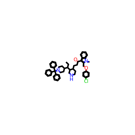 CCC(C1CCN(C(c2ccccc2)(c2ccccc2)c2ccccc2)CC1)C1CNCCC1CCC(=O)c1c(COc2ccc(Cl)cc2)n(C)c2ccccc12